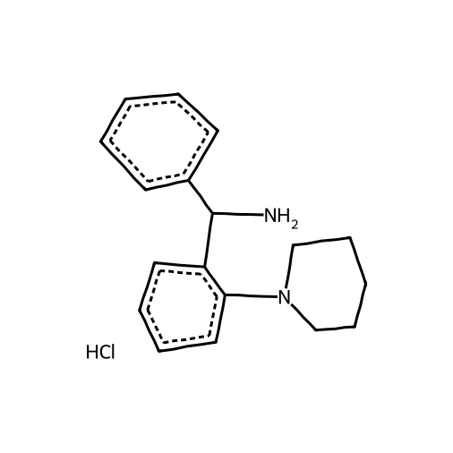 Cl.NC(c1ccccc1)c1ccccc1N1CCCCC1